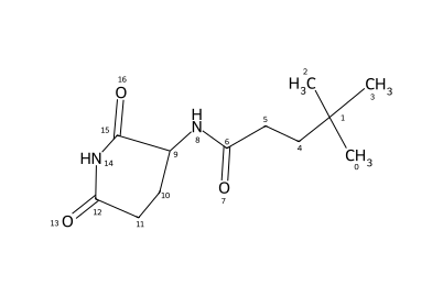 CC(C)(C)CCC(=O)NC1CCC(=O)NC1=O